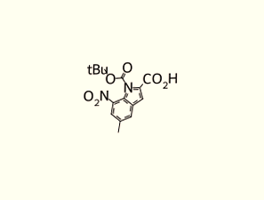 Cc1cc([N+](=O)[O-])c2c(c1)cc(C(=O)O)n2C(=O)OC(C)(C)C